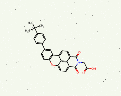 CC(C)(C)c1ccc(-c2ccc3oc4ccc5c(=O)n(CC(=O)O)c(=O)c6ccc(c3c2)c4c56)cc1